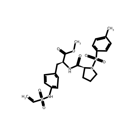 C=CS(=O)(=O)Nc1ccc(C[C@H](NC(=O)[C@@H]2CCCN2S(=O)(=O)c2ccc(C)cc2)C(=O)OC)cc1